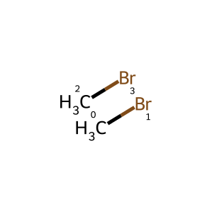 CBr.CBr